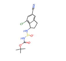 CC(C)(C)OC(=O)N[S+]([O-])NC1CCc2cc(C#N)cc(Cl)c21